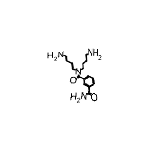 NCCCCN(CCCCN)C(=O)c1cccc(C(N)=O)c1